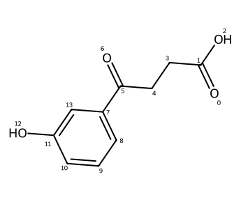 O=C(O)CCC(=O)c1cccc(O)c1